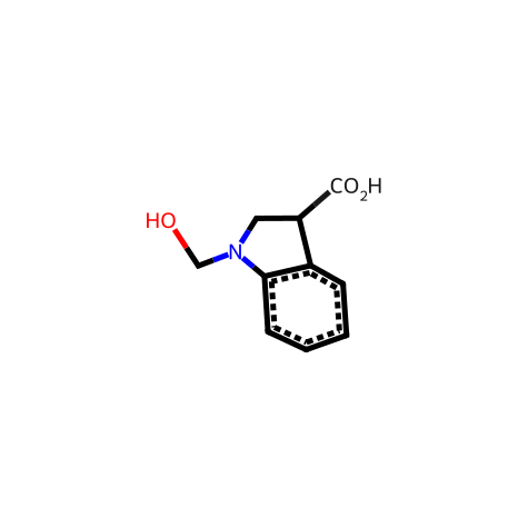 O=C(O)C1CN(CO)c2ccccc21